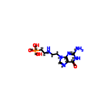 Nc1nc2c(ncn2CCNCCP(=O)(O)O)c(=O)[nH]1